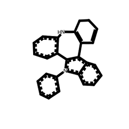 C1=CC2=C(CC1)Nc1ccccc1-c1c2c2ccccc2n1-c1ccccc1